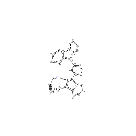 C#C/C=C\c1c(C)c2c(n1-c1cccc(-n3c4ccccc4c4ccccc43)c1)CCC=C2